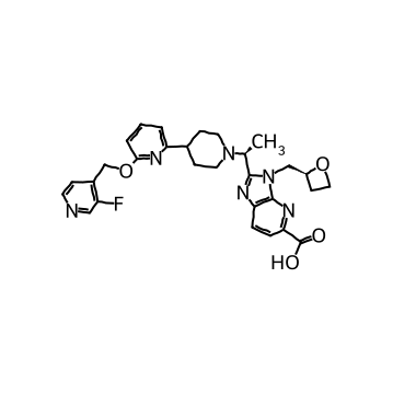 C[C@@H](c1nc2ccc(C(=O)O)nc2n1C[C@@H]1CCO1)N1CCC(c2cccc(OCc3ccncc3F)n2)CC1